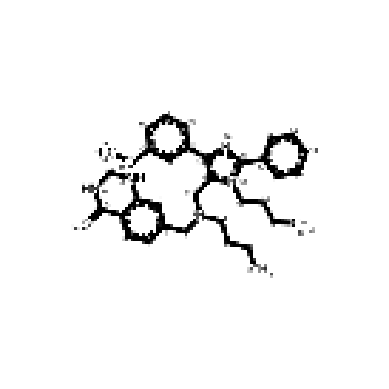 CCCCN(Cc1ccc2c(c1)NCNC2=O)Cc1c(-c2cccc(OC)c2)nc(-c2ccccc2)n1CCCC